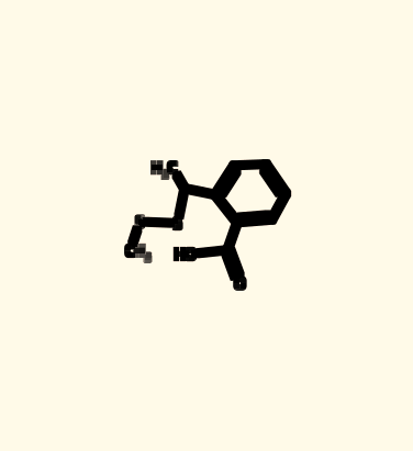 CSSC(C)c1ccccc1C(=O)O